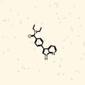 CCN(CC)C(=O)c1ccc(-c2c[nH]c3ncccc23)cc1